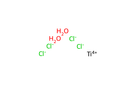 O.O.[Cl-].[Cl-].[Cl-].[Cl-].[Ti+4]